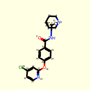 O=C(NC1CC2CCN(CC2)C1)c1ccc(Oc2cc(Cl)ccn2)cc1